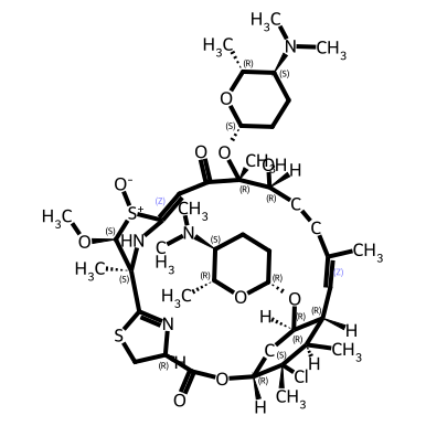 CO[C@H]1[S+]([O-])/C2=C\C(=O)[C@](C)(O[C@H]3CC[C@H](N(C)C)[C@@H](C)O3)[C@H](O)CC/C(C)=C\[C@@H]3[C@@H](C)[C@](C)(Cl)[C@@H](C[C@H]3O[C@H]3CC[C@H](N(C)C)[C@@H](C)O3)OC(=O)[C@@H]3CSC(=N3)[C@]1(C)N2